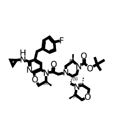 C[C@@H]1CN(CC(=O)N2c3cc(Cc4ccc(F)cc4)c(NC4CC4)nc3OC[C@@H]2C)[C@@H](CN2[C@H](C)COC[C@H]2C)CN1C(=O)OC(C)(C)C